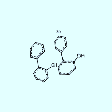 Oc1ccccc1-c1ccccc1.Oc1ccccc1-c1ccccc1.[Zn]